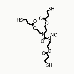 [C-]#[N+]N(CCOC(=O)CCS)C(=O)N(CCOC(=O)CCS)CCOC(=O)CCS